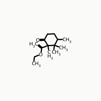 C=C(OCC)C1(C)C(=O)CCC(C)C1(C)C